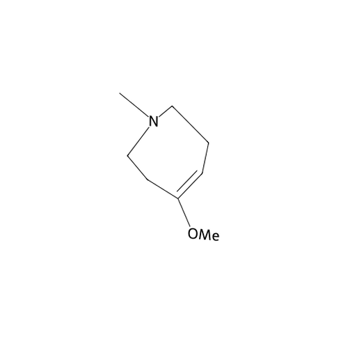 COC1=CCCN(C)CC1